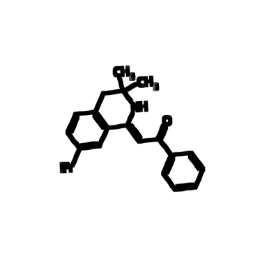 CC(C)c1ccc2c(c1)/C(=C/C(=O)c1ccccc1)NC(C)(C)C2